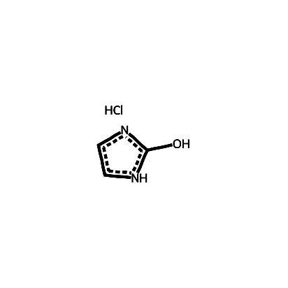 Cl.Oc1ncc[nH]1